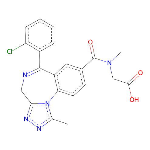 Cc1nnc2n1-c1ccc(C(=O)N(C)CC(=O)O)cc1C(c1ccccc1Cl)=NC2